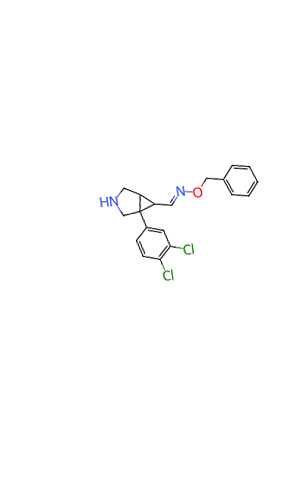 Clc1ccc(C23CNCC2C3C=NOCc2ccccc2)cc1Cl